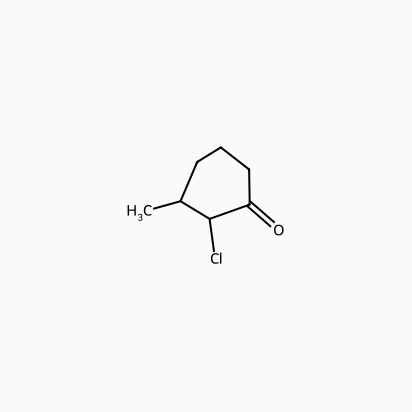 CC1CCCC(=O)C1Cl